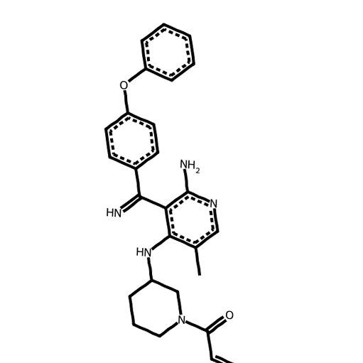 C=CC(=O)N1CCCC(Nc2c(C)cnc(N)c2C(=N)c2ccc(Oc3ccccc3)cc2)C1